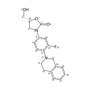 O=C1O[C@@H](CO)CN1c1ccc(N2CCc3ccccc3C2)c(F)c1